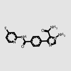 NC(=O)c1c(-c2ccc(C(=O)Nc3cc(F)ccn3)cc2)ncn1N